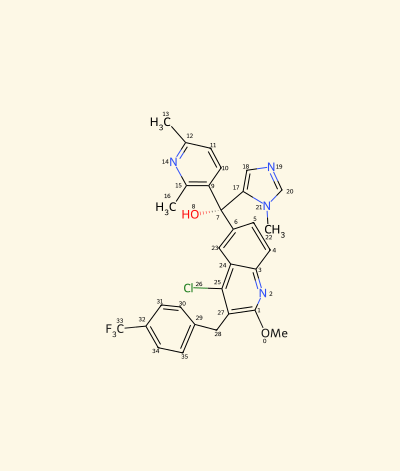 COc1nc2ccc([C@@](O)(c3ccc(C)nc3C)c3cncn3C)cc2c(Cl)c1Cc1ccc(C(F)(F)F)cc1